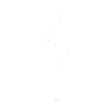 COc1ccc(COCC=C(C)CCC=C(C)CCC=C(C)C)cc1